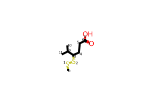 CSSC(CCC(=O)O)C(C)C